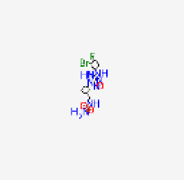 N=C(Nc1ccc(F)c(Br)c1)c1nonc1NC1CCCC(CCNS(N)(=O)=O)C1